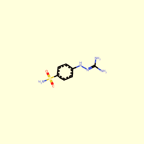 NC(N)=NNc1ccc(S(N)(=O)=O)cc1